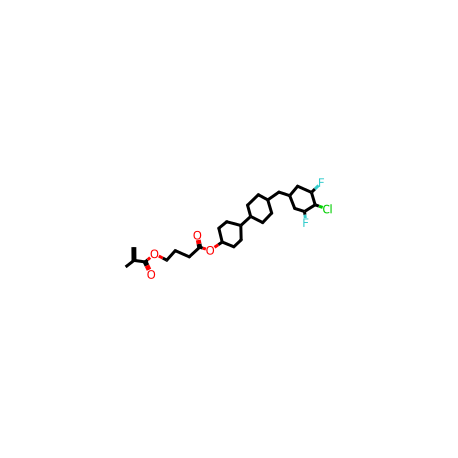 C=C(C)C(=O)OCCCC(=O)OC1CCC(C2CCC(CC3CC(F)C(Cl)C(F)C3)CC2)CC1